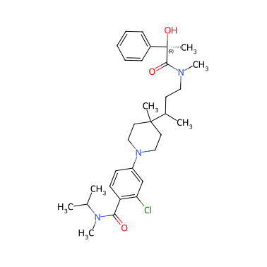 CC(C)N(C)C(=O)c1ccc(N2CCC(C)(C(C)CCN(C)C(=O)[C@](C)(O)c3ccccc3)CC2)cc1Cl